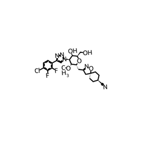 CO[C@@H]1[C@@H](n2cc(-c3ccc(Cl)c(F)c3F)nn2)[C@@H](O)[C@@H](CO)O[C@@H]1CC1=NO[C@]2(CC[C@H](C#N)CC2)C1